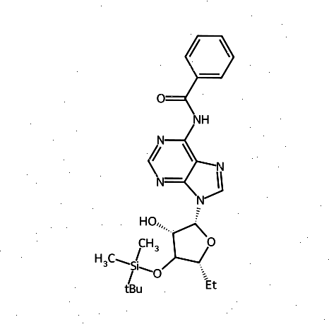 CC[C@H]1O[C@@H](n2cnc3c(NC(=O)c4ccccc4)ncnc32)[C@@H](O)C1O[Si](C)(C)C(C)(C)C